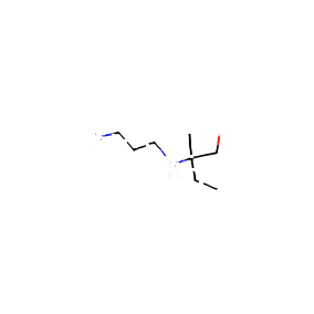 CCC(C)(CO)NCCCN